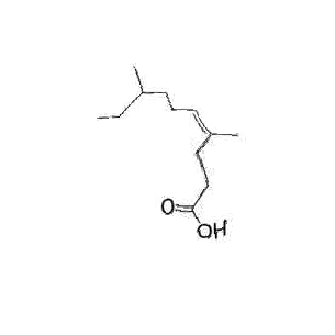 CCC(C)CC/C=C(/C)CCC(=O)O